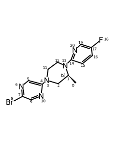 C[C@H]1CN(c2cnc(Br)cn2)CCN1c1ccc(F)cn1